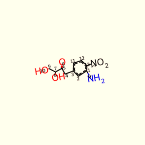 Nc1cc(CC(=O)C(O)CO)ccc1[N+](=O)[O-]